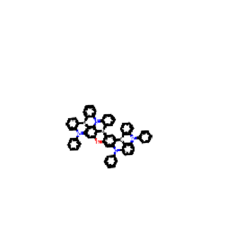 c1ccc(N2c3ccccc3B3c4cc5c(cc4N(c4ccccc4)c4cccc2c43)Oc2cc3c4c6c2B5c2ccccc2N6c2ccccc2B4c2ccccc2N3c2ccccc2)cc1